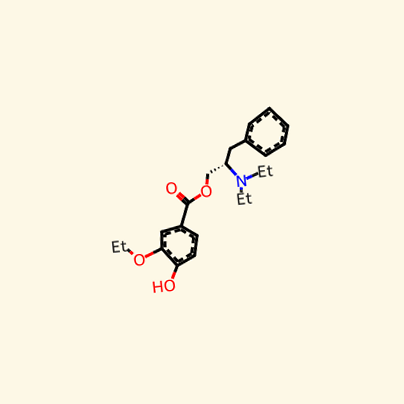 CCOc1cc(C(=O)OC[C@H](Cc2ccccc2)N(CC)CC)ccc1O